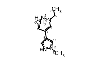 C=C/C(=C\N(N)CC)c1cnn(C)c1